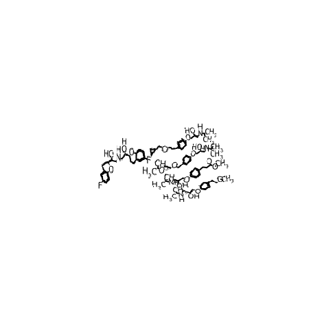 CC(C)NCC(O)COc1ccc(CCOCC2CC2)cc1.CC(C)NCC(O)COc1ccc(COCCOC(C)C)cc1.COC(=O)CCc1ccc(OCC(O)CNC(C)C)cc1.COCCc1ccc(OCC(O)CNC(C)C)cc1.OC(CNCC(O)C1CCc2cc(F)ccc2O1)C1CCc2cc(F)ccc2O1